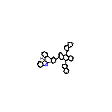 C1=C(c2ccc3c(c2)-c2ccccc2[C@@H]2C3=Nc3ccccc32)CC2C(=C1)C(c1ccc3ccccc3c1)=c1ccccc1=C2c1ccc2ccccc2c1